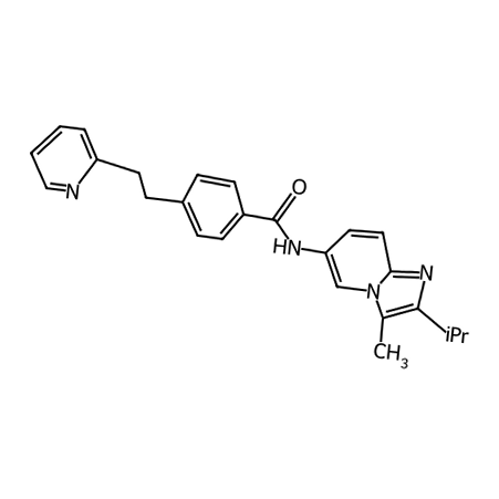 Cc1c(C(C)C)nc2ccc(NC(=O)c3ccc(CCc4ccccn4)cc3)cn12